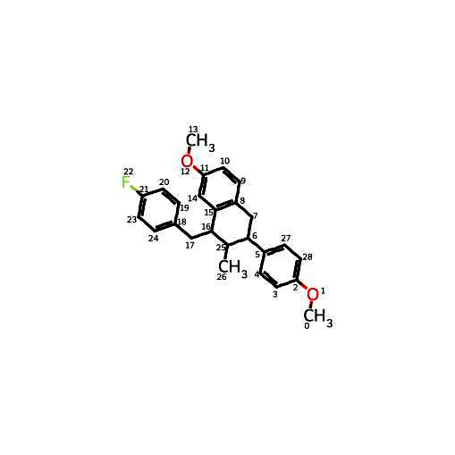 COc1ccc(C2Cc3ccc(OC)cc3C(Cc3ccc(F)cc3)C2C)cc1